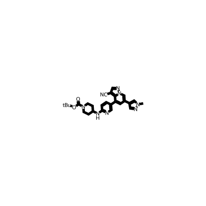 Cn1cc(-c2cc(-c3ccc(NC4CCN(C(=O)OC(C)(C)C)CC4)nc3)c3c(C#N)cnn3c2)cn1